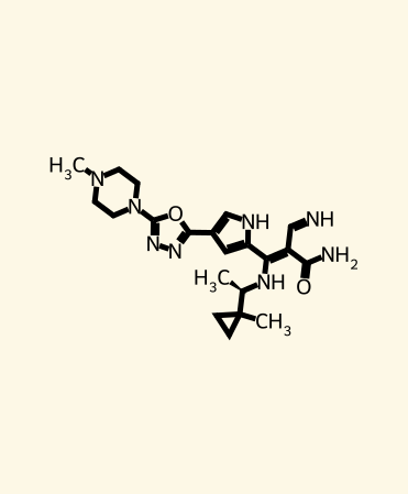 C[C@@H](N/C(=C(/C=N)C(N)=O)c1cc(-c2nnc(N3CCN(C)CC3)o2)c[nH]1)C1(C)CC1